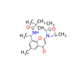 Cc1cc(C(C)N[S+]([O-])C(C)(C)C)c2oc(N3C[C@@H](C)O[C@@H](C)C3)cc(=O)c2c1